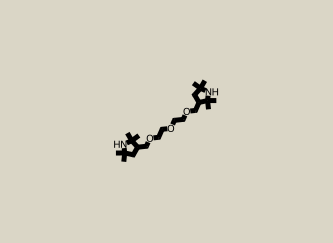 CC1(C)CC(COCCOCCOCC2CC(C)(C)NC2(C)C)C(C)(C)N1